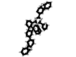 c1ccc(-c2nc(-c3ccc4oc5ccccc5c4c3)nc(-c3cccc4c3C3(c5cc(-c6ccc7sc8ccccc8c7c6)ccc5-4)C4CC5CC(C4)CC3C5)n2)nc1